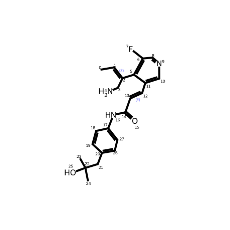 C/C=C(\CN)c1c(F)cncc1/C=C/C(=O)Nc1ccc(CC(C)(C)O)cc1